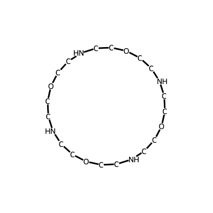 C1COCCNCCOCCNCCOCCNCCOCCN1